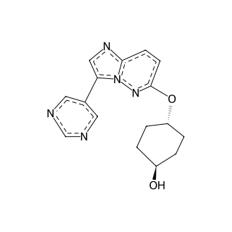 O[C@H]1CC[C@H](Oc2ccc3ncc(-c4cncnc4)n3n2)CC1